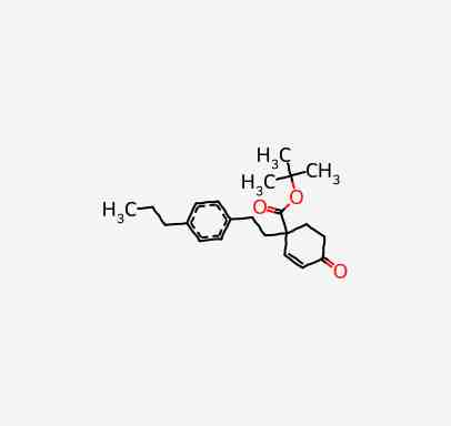 CCCc1ccc(CCC2(C(=O)OC(C)(C)C)C=CC(=O)CC2)cc1